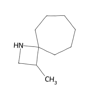 CC1CNC12CCCCCC2